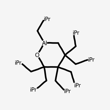 CC(C)[CH2][Al]1[CH2]C(CC(C)C)(CC(C)C)C(CC(C)C)(CC(C)C)C(CC(C)C)(CC(C)C)[O]1